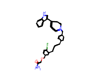 NC(=O)COCc1ccc(F)c(CCCc2ccc(CN3CCC(c4c[nH]c5ccccc45)CC3)cc2)c1